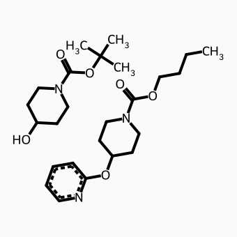 CC(C)(C)OC(=O)N1CCC(O)CC1.CCCCOC(=O)N1CCC(Oc2ccccn2)CC1